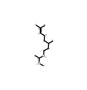 COC(C)OCCC(C)CCC=C(C)C